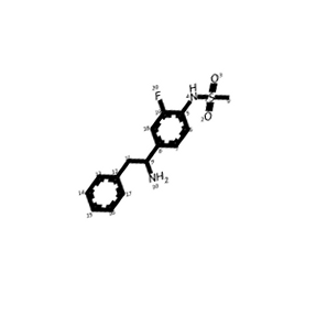 CS(=O)(=O)Nc1ccc(C(N)Cc2ccccc2)cc1F